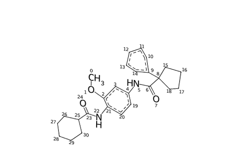 COc1cc(NC(=O)C2(c3ccccc3)CCCC2)ccc1NC(=O)C1CCCCC1